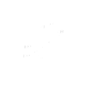 O=C(O)C1=CCC(O)(C(=O)O)C=C1O